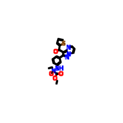 CCOC(=O)[N+]([O-])(CC)Nc1cccc(-c2nn3cccnc3c2C(=O)c2cccs2)c1